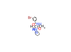 CC(C)(NC(=O)c1cccc(Br)c1)C(=O)NC1CC2CCC1N2C#N